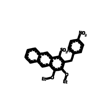 CCOc1c(Cc2ccc([N+](=O)[O-])cc2)c(S(=O)(=O)O)c2cc3ccccc3cc2c1OCC